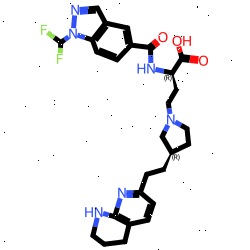 O=C(N[C@H](CCN1CC[C@@H](CCc2ccc3c(n2)NCCC3)C1)C(=O)O)c1ccc2c(cnn2C(F)F)c1